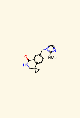 CNc1nccn1Cc1ccc2c(c1)C(=O)NCC21CC1